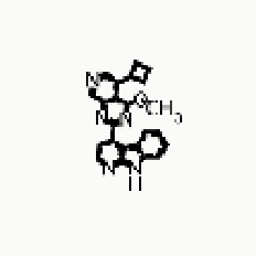 COc1nc(-c2ccnc3[nH]c4ccccc4c23)nc2cncc(C3CCC3)c12